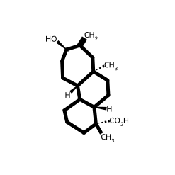 C=C1C[C@@]2(C)CC[C@H]3C(CCC[C@@]3(C)C(=O)O)[C@@H]2CC[C@H]1O